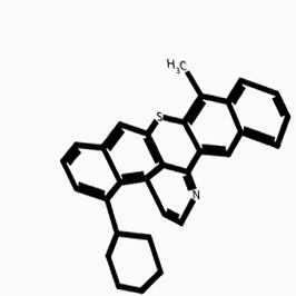 Cc1c2c(cc3ccccc13)-c1nccc3c1c(cc1cccc(C4CCCCC4)c13)S2